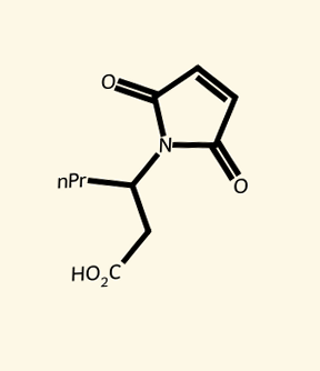 CCCC(CC(=O)O)N1C(=O)C=CC1=O